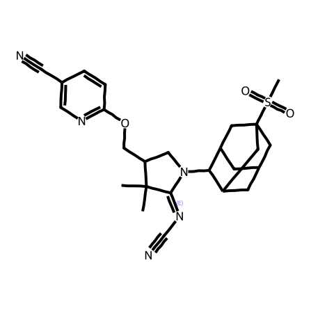 CC1(C)/C(=N\C#N)N(C2C3CC4CC2CC(S(C)(=O)=O)(C4)C3)CC1COc1ccc(C#N)cn1